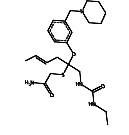 CC=CCC(CNC(=O)NCC)(Oc1cccc(CN2CCCCC2)c1)SCC(N)=O